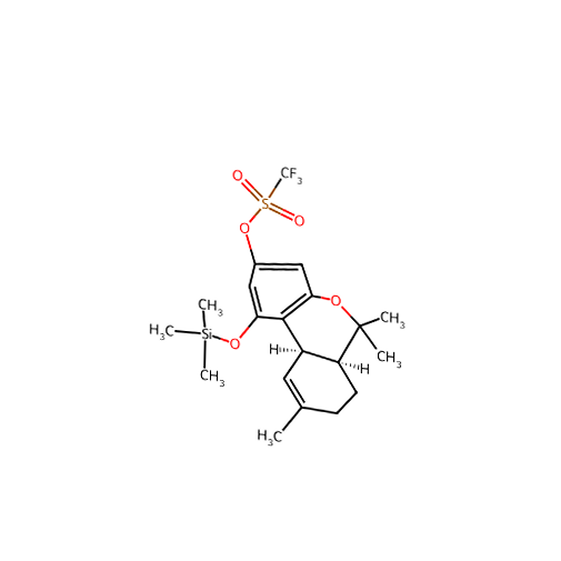 CC1=C[C@H]2c3c(cc(OS(=O)(=O)C(F)(F)F)cc3O[Si](C)(C)C)OC(C)(C)[C@H]2CC1